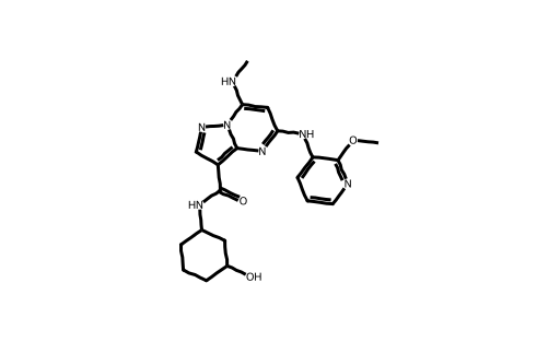 CNc1cc(Nc2cccnc2OC)nc2c(C(=O)NC3CCCC(O)C3)cnn12